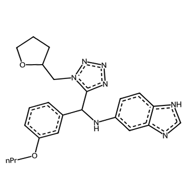 CCCOc1cccc(C(Nc2ccc3[nH]cnc3c2)c2nnnn2CC2CCCO2)c1